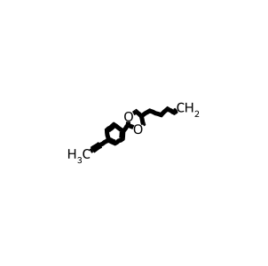 C=CCCCC1COC(c2ccc(C#CC)cc2)OC1